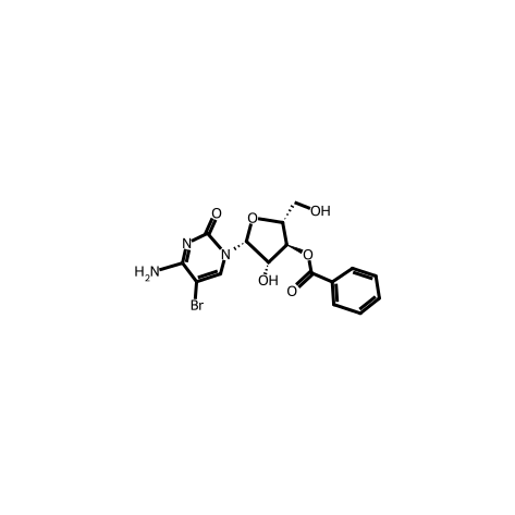 Nc1nc(=O)n([C@@H]2O[C@H](CO)[C@@H](OC(=O)c3ccccc3)[C@@H]2O)cc1Br